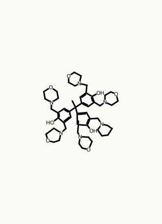 CC(c1cc(CN2CCCCC2)c(O)c(CN2CCOCC2)c1)(c1cc(CN2CCOCC2)c(O)c(CN2CCOCC2)c1)c1cc(CN2CCOCC2)c(O)c(CN2CCOCC2)c1